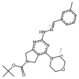 Cc1cccc(/C=N/Nc2nc3c(c(N4CCOC[C@H]4C)n2)CN(C(=O)OC(C)(C)C)C3)c1